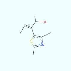 C/C=C(\c1sc(C)nc1C)C(C)Br